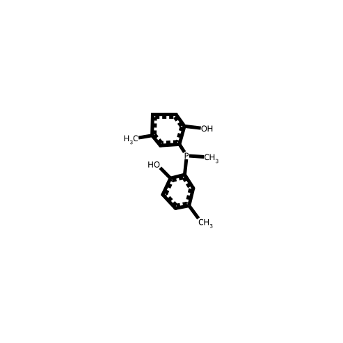 Cc1ccc(O)c(P(C)c2cc(C)ccc2O)c1